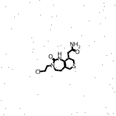 NC(=O)CC1CSCC2=C1NC(=O)N(CCCl)CC2